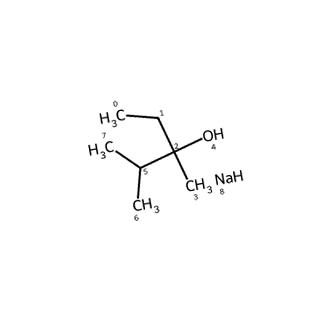 CCC(C)(O)C(C)C.[NaH]